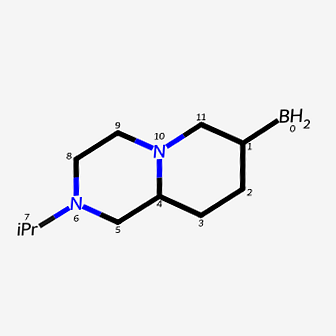 BC1CCC2CN(C(C)C)CCN2C1